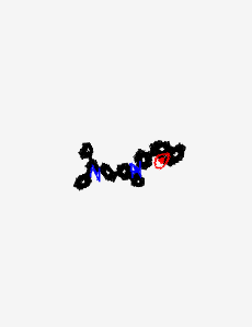 c1ccc(-c2cc(-c3ccccc3)nc(-c3ccc(-c4ccc5c(c4)c4ccccc4n5-c4ccc(-c5cccc6c5oc5ccccc56)cc4)cc3)c2)cc1